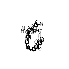 CC1(C)[C@H](NC(=O)c2ccc(N3CCC(CN4CC(=Cc5ccc6c(c5)CN(C5CCC(=O)NC5=O)C6=O)C4)CC3)nc2)C(C)(C)[C@H]1Oc1ccc(C#N)c(Cl)c1